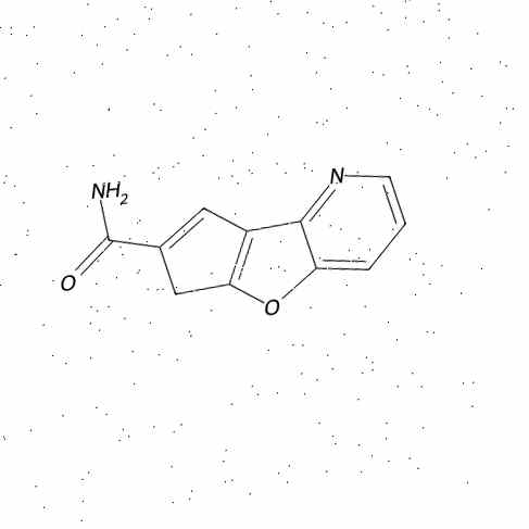 NC(=O)C1=Cc2c(oc3cccnc23)C1